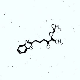 C=C(OCC)C(=O)CCCc1nc2ccccc2s1